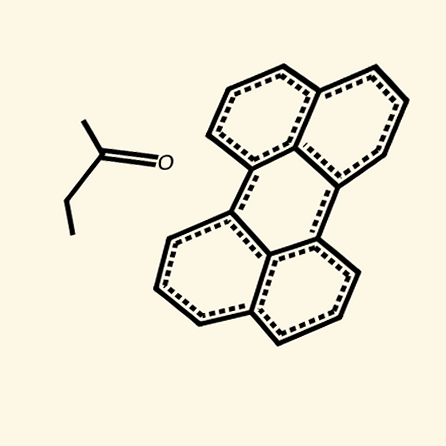 CCC(C)=O.c1cc2cccc3c4cccc5cccc(c(c1)c23)c54